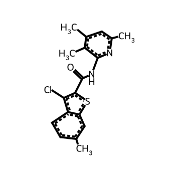 Cc1ccc2c(Cl)c(C(=O)Nc3nc(C)cc(C)c3C)sc2c1